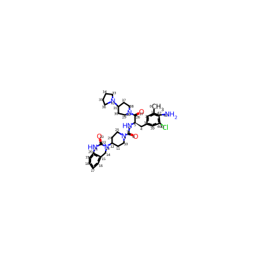 Cc1cc(C[C@@H](NC(=O)N2CCC(N3Cc4ccccc4NC3=O)CC2)C(=O)N2CCC(N3CCCC3)CC2)cc(Cl)c1N